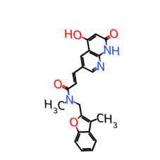 Cc1c(CN(C)C(=O)/C=C/c2cnc3[nH]c(=O)cc(O)c3c2)oc2ccccc12